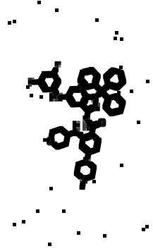 CN1CCN(c2ccc(C(=O)Nc3nn(C(c4ccccc4)(c4ccccc4)c4ccccc4)c4ncc(Nc5cc(F)cc(F)c5)cc34)c(NC3CCOCC3)c2)CC1